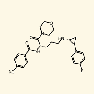 N#Cc1ccc(C(=O)N[C@@H](CCCN[C@@H]2C[C@H]2c2ccc(F)cc2)C(=O)N2CCOCC2)cc1